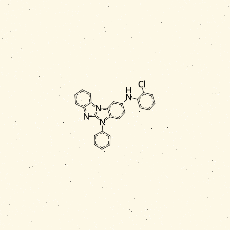 Clc1ccccc1Nc1ccc2c(c1)n1c3ccccc3nc1n2-c1ccccc1